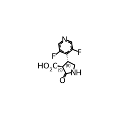 O=C(O)[C@@H]1C(=O)NC[C@H]1c1c(F)cncc1F